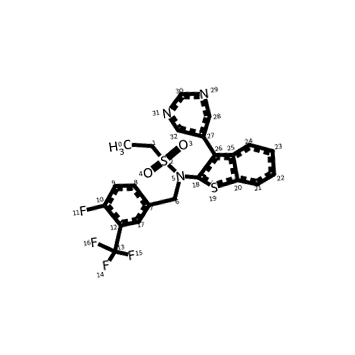 CCS(=O)(=O)N(Cc1ccc(F)c(C(F)(F)F)c1)c1sc2ccccc2c1-c1cncnc1